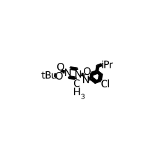 CC(C)Cc1cc(Cl)cc2nc(N3CCN(C(=O)OC(C)(C)C)CC3C)oc12